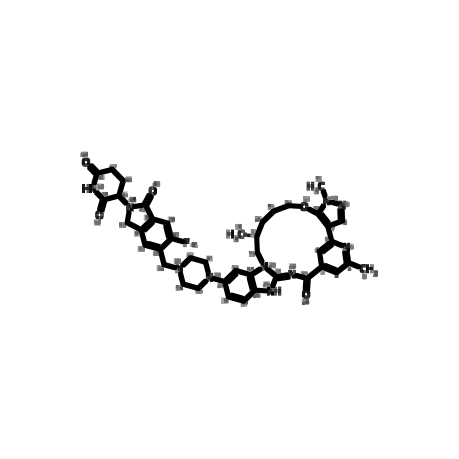 Cc1cc2cc(n1)-c1cnn(C)c1OCCC[C@@H](C)CN1/C(=N/C2=O)Nc2ccc(N3CCN(Cc4cc5c(cc4F)C(=O)N(C4CCC(=O)NC4=O)C5)CC3)cc21